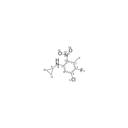 Cc1c(F)c(Cl)cc(NC2CC2)c1[N+](=O)[O-]